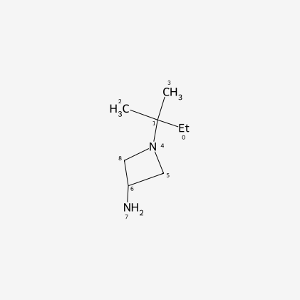 CCC(C)(C)N1CC(N)C1